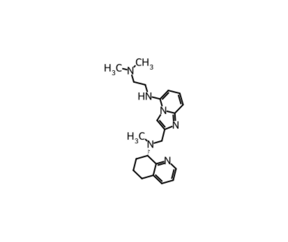 CN(C)CCNc1cccc2nc(CN(C)[C@H]3CCCc4cccnc43)cn12